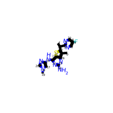 Cc1c(C(C)c2ncc(F)cn2)sc2c(Nc3cn(C)cn3)nc(N)nc12